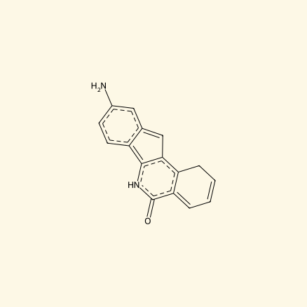 Nc1ccc2c(c1)=Cc1c3c(c(=O)[nH]c1=2)=CC=CC3